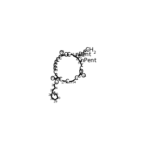 C=C=C=C=C1C(CCCCC)CCOC(=O)CCCCCCCC(C(=O)OCCCN2CCCCC2)CCCCCCCC(=O)OCCC1CCCCC